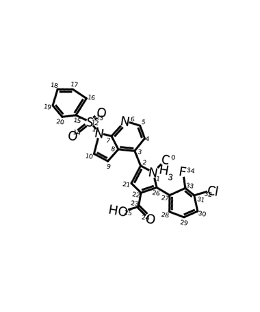 Cn1c(-c2ccnc3c2ccn3S(=O)(=O)c2ccccc2)cc(C(=O)O)c1-c1cccc(Cl)c1F